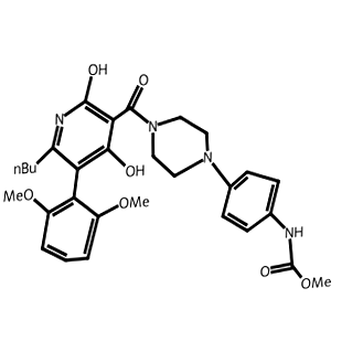 CCCCc1nc(O)c(C(=O)N2CCN(c3ccc(NC(=O)OC)cc3)CC2)c(O)c1-c1c(OC)cccc1OC